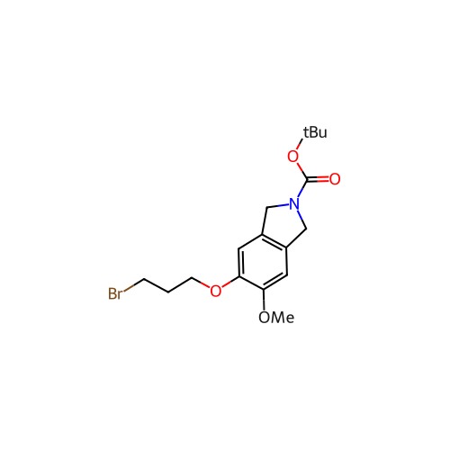 COc1cc2c(cc1OCCCBr)CN(C(=O)OC(C)(C)C)C2